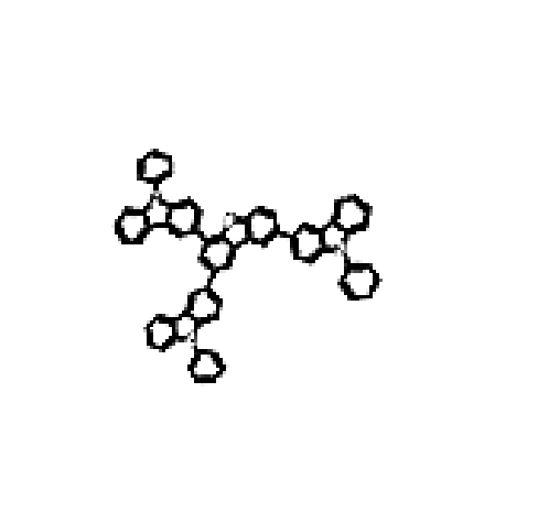 C1=CC(n2c3ccccc3c3cc(-c4ccc5oc6c(-c7ccc8c(c7)c7ccccc7n8-c7ccccc7)cc(-c7ccc8c(c7)c7ccccc7n8-c7ccccc7)cc6c5c4)ccc32)=CCC1